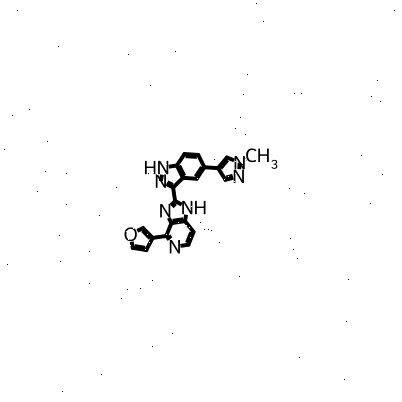 Cn1cc(-c2ccc3[nH]nc(-c4nc5c(-c6ccoc6)nccc5[nH]4)c3c2)cn1